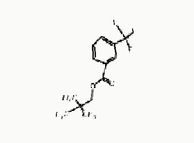 CC(C)(C)COC(=O)c1cccc(C(F)(F)F)c1